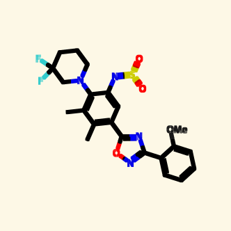 COc1ccccc1-c1noc(-c2cc(N=S(=O)=O)c(N3CCCC(F)(F)C3)c(C)c2C)n1